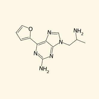 CC(N)Cn1cnc2c(-c3ccco3)nc(N)nc21